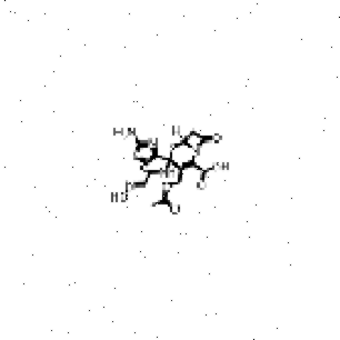 CC(=O)OCC1=C(C(=O)O)N2C(=O)C[C@H]2SC1(NC(=O)C=NO)c1csc(N)n1